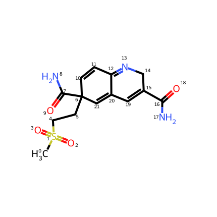 CS(=O)(=O)CCC1(C(N)=O)C=CC2=NCC(C(N)=O)=CC2=C1